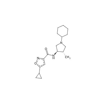 C[C@H]1CN(C2CCCCC2)C[C@@H]1NC(=O)c1cc(C2CC2)on1